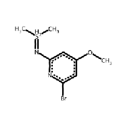 COc1cc(Br)nc(N=[SH2](C)C)c1